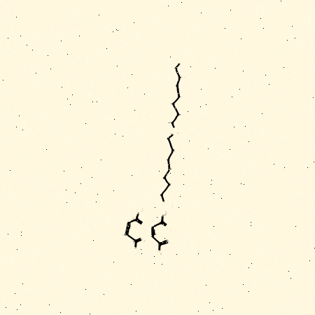 CCCCCCC[CH2][Sn][CH2]CCCCCCC.O=C(O)/C=C\C(=O)O.O=C(O)/C=C\C(=O)O